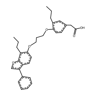 CCCc1cc(CC(=O)O)ccc1OCCCOc1ccc2c(-c3ccccc3)coc2c1CCC